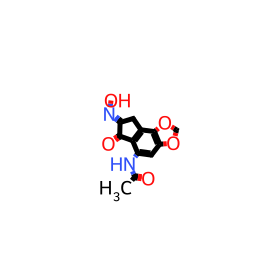 CC(=O)Nc1cc2c(c3c1C(=O)C(=NO)C3)OCO2